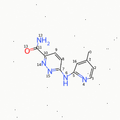 Cc1ccnc(Nc2ccc(C(N)=O)nn2)c1